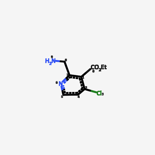 CCOC(=O)c1c(Cl)ccnc1CN